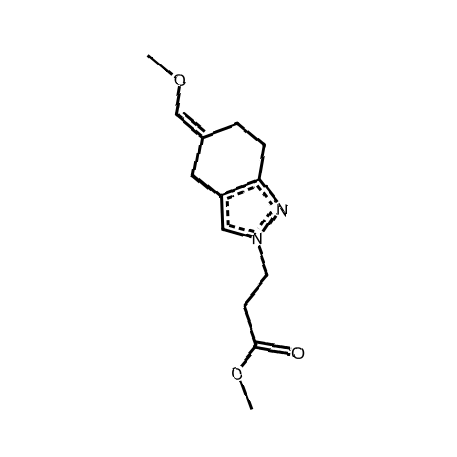 CO/C=C1\CCc2nn(CCC(=O)OC)cc2C1